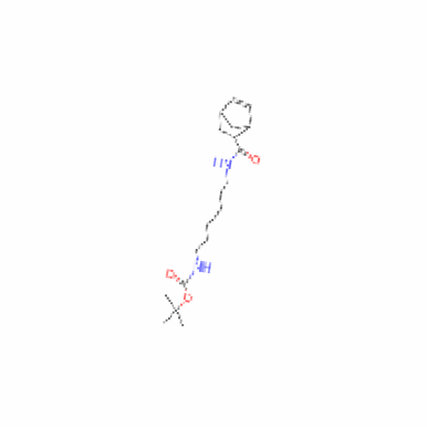 CC(C)(C)OC(=O)NCCCCCCNC(=O)C1CC2C=CC1C2